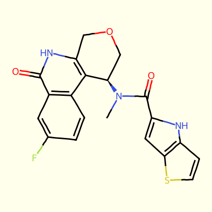 CN(C(=O)c1cc2sccc2[nH]1)[C@@H]1COCc2[nH]c(=O)c3cc(F)ccc3c21